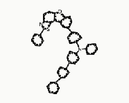 c1ccc(-c2ccc(-c3ccc(N(c4ccccc4)c4ccc(-c5ccc6oc7ccc8nc(-c9ccccc9)sc8c7c6c5)cc4)cc3)cc2)cc1